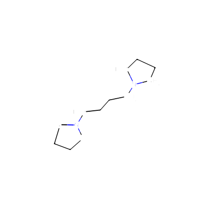 C1C[SiH2]N([SiH2]CC[SiH2]N2[SiH2]CC[SiH2]2)[SiH2]1